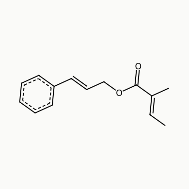 CC=C(C)C(=O)OCC=Cc1ccccc1